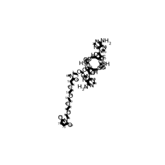 CN(CCOC(=O)O[C@@H]1[C@@H]2O[P@](=O)(S)OC[C@H]3O[C@@H](n4cnc5c(N)ncnc54)[C@H](F)[C@@H]3O[P@](=O)(S)OC[C@H]2O[C@H]1n1cnc2c(N)ncnc21)C(=O)CCOCCOCCOCCOCCN1C(=O)C=CC1=O